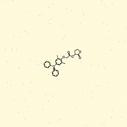 Cc1cc([SH](c2ccccc2)c2ccccc2)cc(C)c1OCC(=O)OC1CCOC1=O